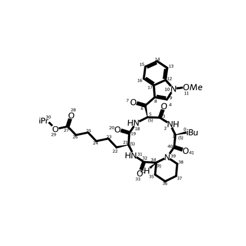 CCC(C)[C@@H]1NC(=O)[C@H](C(=O)c2cn(OC)c3ccccc23)NC(=O)[C@H](CCCCCC(=O)OC(C)C)NC(=O)[C@H]2CCCCN2C1=O